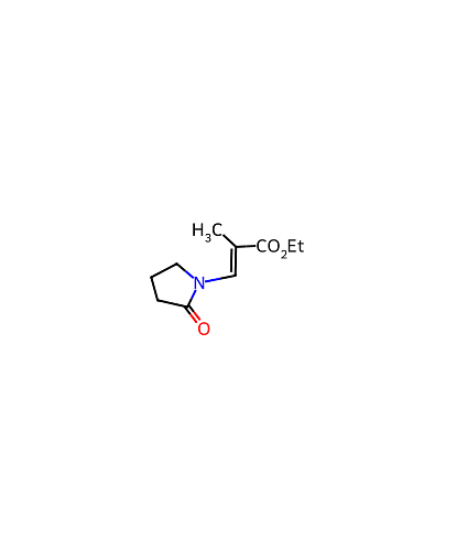 CCOC(=O)C(C)=CN1CCCC1=O